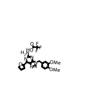 COc1ccc(Cn2nnc3c(-c4ccco4)nc(N)nc32)cc1OC.O=C(O)C(F)(F)F